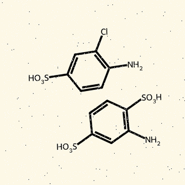 Nc1cc(S(=O)(=O)O)ccc1S(=O)(=O)O.Nc1ccc(S(=O)(=O)O)cc1Cl